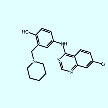 Oc1ccc(Nc2ncnc3cc(Cl)ccc23)cc1CN1CCCCC1